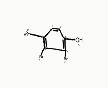 CC(C)c1ccc(O)c(Br)c1Br